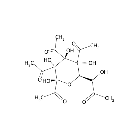 CC(=O)C(O)[C@H]1O[C@](O)(C(C)=O)[C@@](O)(C(C)=O)[C@](O)(C(C)=O)[C@@]1(O)C(C)=O